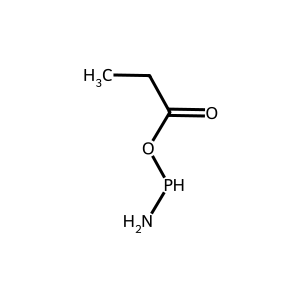 CCC(=O)OPN